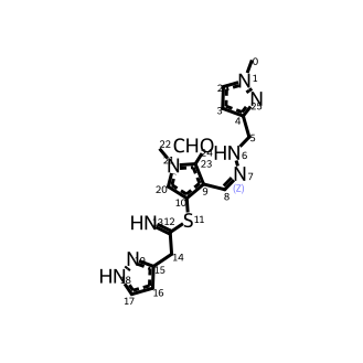 Cn1ccc(CN/N=C\c2c(SC(=N)Cc3cc[nH]n3)cn(C)c2C=O)n1